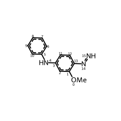 COc1cc(Nc2ccccc2)ccc1N=N